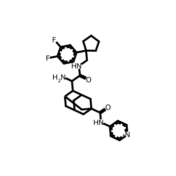 NC(C(=O)NCC1(c2ccc(F)c(F)c2)CCCC1)C1C2CC3CC1CC(C(=O)Nc1ccncc1)(C3)C2